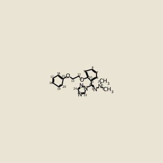 CN(C)/N=C(\c1ccccc1OCCOc1ccccc1)n1cncn1